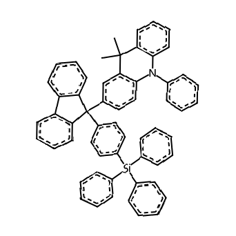 CC1(C)c2ccccc2N(c2ccccc2)c2ccc(C3(c4ccc([Si](c5ccccc5)(c5ccccc5)c5ccccc5)cc4)c4ccccc4-c4ccccc43)cc21